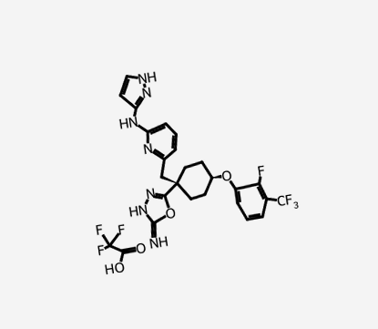 N=c1[nH]nc([C@]2(Cc3cccc(Nc4cc[nH]n4)n3)CC[C@@H](Oc3cccc(C(F)(F)F)c3F)CC2)o1.O=C(O)C(F)(F)F